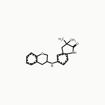 CC1(C)Cc2cc(NC3COc4ccccc4C3)ccc2NC1=O